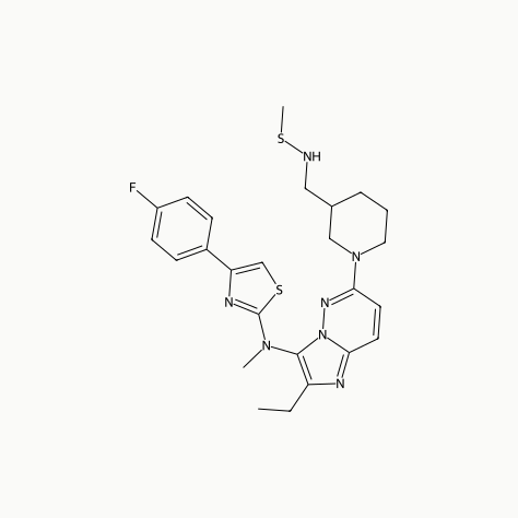 CCc1nc2ccc(N3CCCC(CNSC)C3)nn2c1N(C)c1nc(-c2ccc(F)cc2)cs1